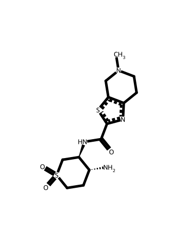 CN1CCc2nc(C(=O)N[C@@H]3CS(=O)(=O)CC[C@H]3N)sc2C1